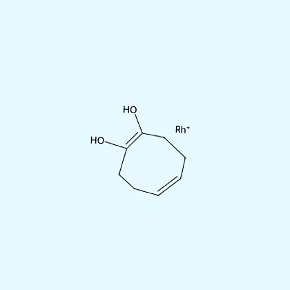 OC1=C(O)CCC=CCC1.[Rh+]